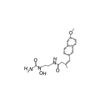 COc1ccc2cc(C=C(C)CC(=O)NCCN(O)C(N)=O)ccc2c1